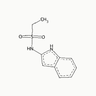 CCS(=O)(=O)Nc1cc2ccccc2[nH]1